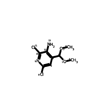 COC(OC)c1cc(Cl)nc(Cl)c1N